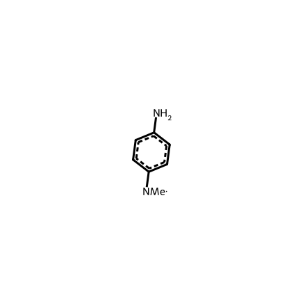 C[N]c1ccc(N)cc1